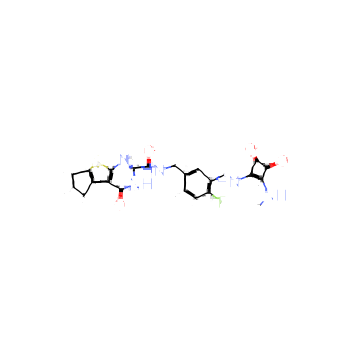 CNc1c(NCc2cc(CNC(=O)c3nc4sc5c(c4c(=O)[nH]3)CCC5)ccc2F)c(=O)c1=O